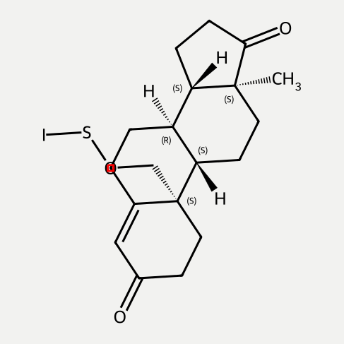 C[C@]12CC[C@H]3[C@@H](CCC4=CC(=O)CC[C@@]43COSI)[C@@H]1CCC2=O